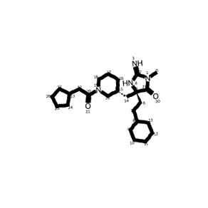 CN1C(=N)N[C@@](CCC2CCCCC2)(C[C@H]2CCCN(C(=O)CC3CCCC3)C2)C1=O